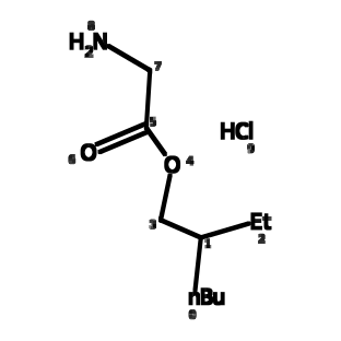 CCCCC(CC)COC(=O)CN.Cl